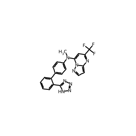 CN(c1ccc(-c2ccccc2-c2nnn[nH]2)cc1)c1cc(C(F)(F)F)nc2ccnn12